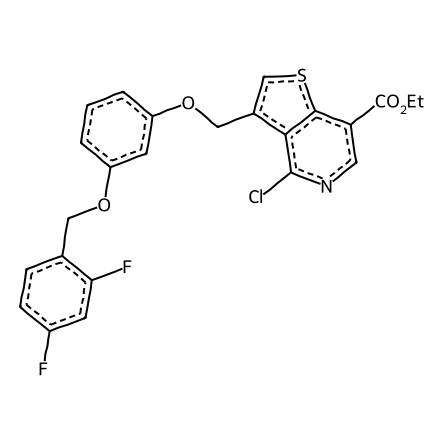 CCOC(=O)c1cnc(Cl)c2c(COc3cccc(OCc4ccc(F)cc4F)c3)csc12